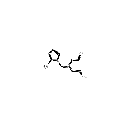 C=CCN(CC=C)Cn1ccnc1C